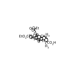 CCOC(=O)C1CCN([C@H]2CC[C@@]3(C)[C@@H](CC[C@]4(C)[C@@H]3C(=O)C=C3[C@@H]5C[C@@](C)(C(=O)O)CC[C@]5(C)CC[C@]34C)[C@]2(C)C(=O)OCc2oc(=O)oc2CC)CC1